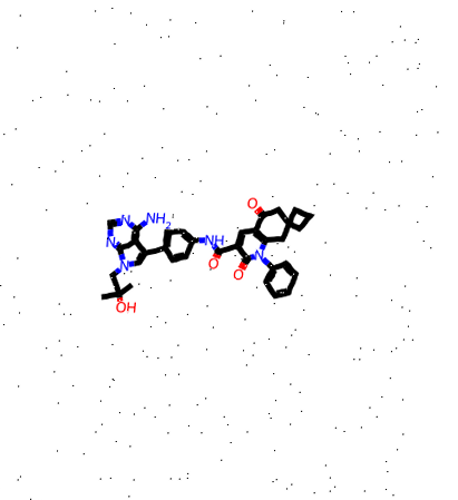 CC(C)(O)Cn1cc(-c2ccc(NC(=O)c3cc4c(n(-c5ccccc5)c3=O)CC3(CCC3)CC4=O)cc2)c2c(N)ncnc21